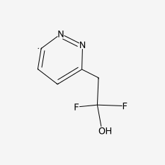 OC(F)(F)Cc1cc[c]nn1